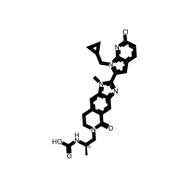 C[C@H](CN1CCc2cc3c(cc2C1=O)nc(-c1cc2ccc(Cl)nc2n1CC1CC1)n3C)NC(=O)O